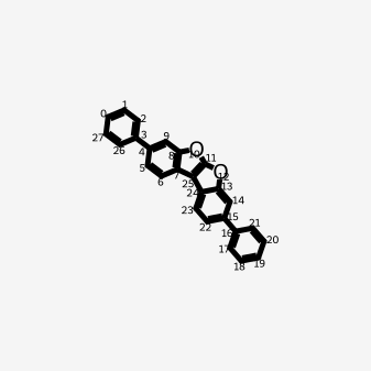 c1ccc(-c2ccc3c(c2)oc2oc4cc(-c5ccccc5)ccc4c23)cc1